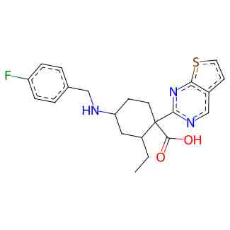 CCC1CC(NCc2ccc(F)cc2)CCC1(C(=O)O)c1ncc2ccsc2n1